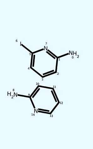 Nc1cccc(I)n1.Nc1ccccn1